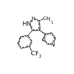 Cc1n[nH]c(-c2cccc(C(F)(F)F)c2)c1-c1ccncc1